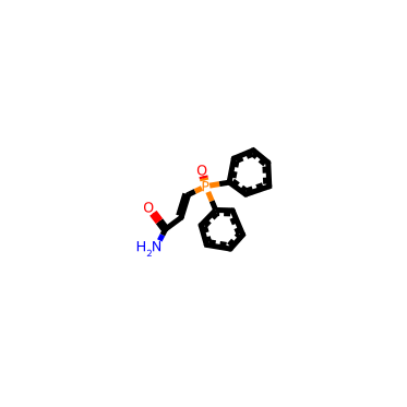 NC(=O)C=CP(=O)(c1ccccc1)c1ccccc1